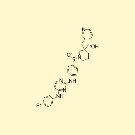 [O-][S+](c1ccc(Nc2nccc(Nc3ccc(F)cc3)n2)cc1)N1CCCC(CO)(Cc2cccnc2)C1